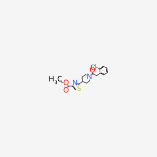 CCOC(=O)c1csc(C2CCN(C(=O)Cc3ccccc3Cl)CC2)n1